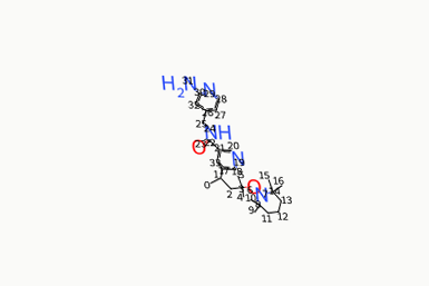 CC(CC(C)(C)ON1C(C)(C)CCCC1(C)C)c1cncc(C(=O)NCc2ccnc(N)c2)c1